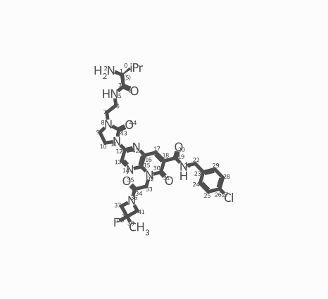 CC(C)[C@H](N)C(=O)NCCN1CCN(c2cnc3c(cc(C(=O)NCc4ccc(Cl)cc4)c(=O)n3CC(=O)N3CC(C)(F)C3)n2)C1=O